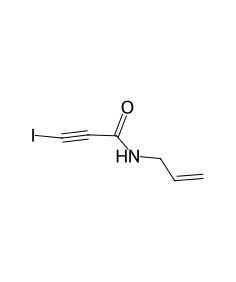 C=CCNC(=O)C#CI